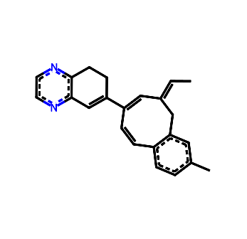 C/C=C1/C=C(C2=Cc3nccnc3CC2)\C=C/c2ccc(C)cc2C1